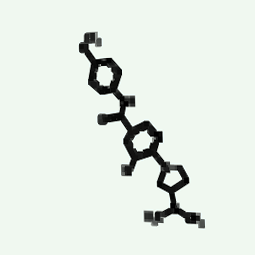 CN(C)C1CCN(c2ncc(C(=O)Nc3ccc(OC(F)(F)F)cc3)cc2Br)C1